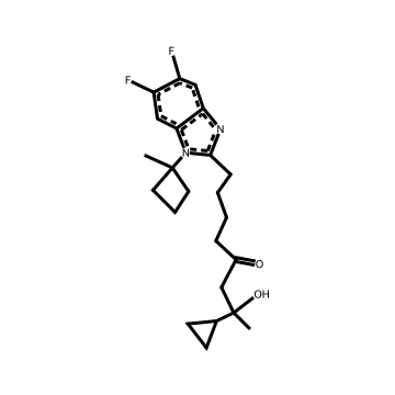 CC(O)(CC(=O)CCCCc1nc2cc(F)c(F)cc2n1C1(C)CCC1)C1CC1